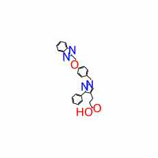 Cn1c(COc2ccc(Cn3cc(CCC(=O)O)c(-c4ccccc4)n3)cc2)nc2ccccc21